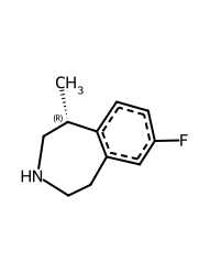 C[C@H]1CNCCc2cc(F)ccc21